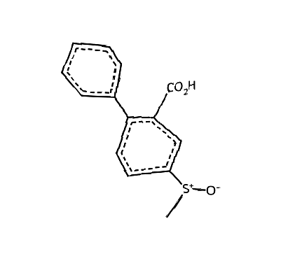 C[S+]([O-])c1ccc(-c2ccccc2)c(C(=O)O)c1